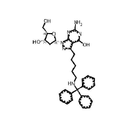 Nc1nc(O)c2c(CCCCCNC(c3ccccc3)(c3ccccc3)c3ccccc3)nn([C@@H]3C[C@H](O)[C@@H](CO)O3)c2n1